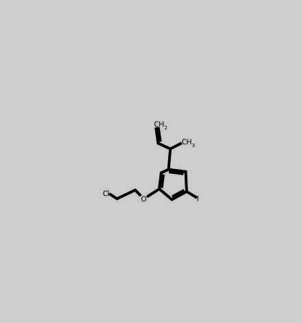 C=C[C](C)c1cc(I)cc(OCCCl)c1